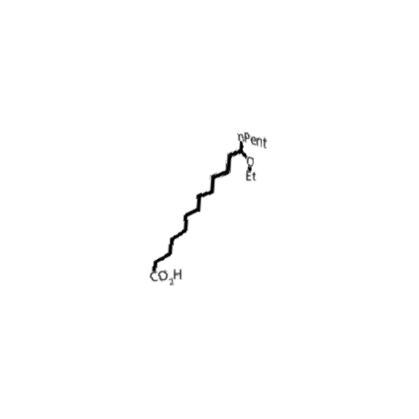 CCCCCC(CCCCCCCCCCCC(=O)O)OCC